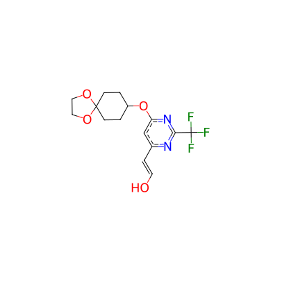 O/C=C/c1cc(OC2CCC3(CC2)OCCO3)nc(C(F)(F)F)n1